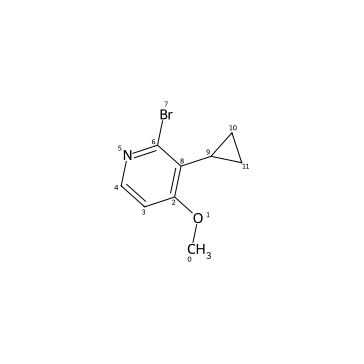 COc1ccnc(Br)c1C1CC1